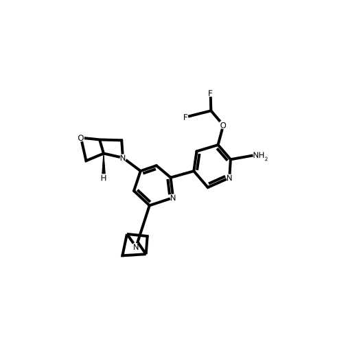 Nc1ncc(-c2cc(N3CC4OC[C@H]43)cc(N3CC4CC3C4)n2)cc1OC(F)F